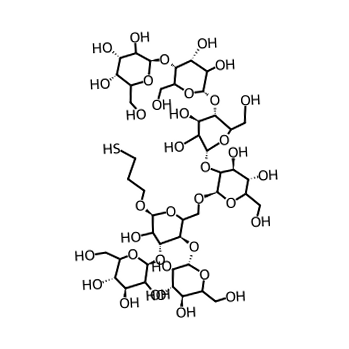 OCC1O[C@@H](O[C@@H]2C(CO[C@@H]3OC(CO)[C@@H](O)[C@H](O)C3O[C@H]3OC(CO)[C@@H](O[C@@H]4OC(CO)[C@H](O[C@H]5OC(CO)[C@H](O)[C@H](O)C5O)[C@H](O)C4O)[C@H](O)C3O)O[C@H](OCCCS)C(O)[C@H]2O[C@@H]2OC(CO)[C@@H](O)[C@H](O)C2O)C(O)[C@@H](O)[C@@H]1O